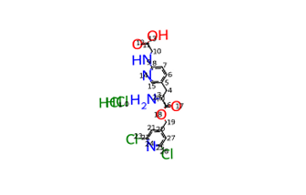 Cl.Cl.N[C@@H](Cc1ccc(NCC(=O)O)nc1)C(=O)OCc1cc(Cl)nc(Cl)c1